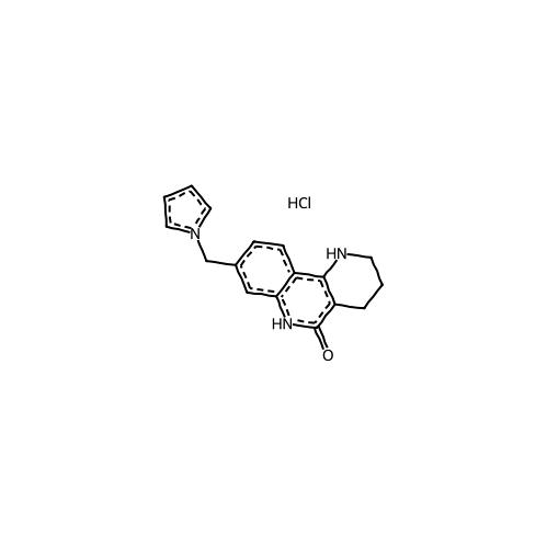 Cl.O=c1[nH]c2cc(Cn3cccc3)ccc2c2c1CCCN2